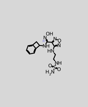 NS(=O)(=O)NCCNc1nonc1/C(=N\O)NC1Cc2ccccc21